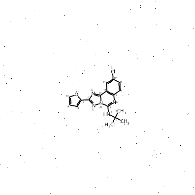 CC(C)(C)Nc1nc2ccc(Cl)cc2c2nc(-c3ccco3)nn12